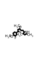 COC1=CC(c2ccc(OC)c(F)c2)=N/C1=C\c1[nH]c(C)cc1C